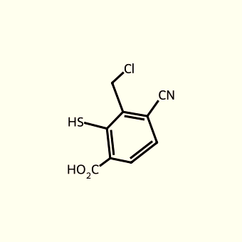 N#Cc1ccc(C(=O)O)c(S)c1CCl